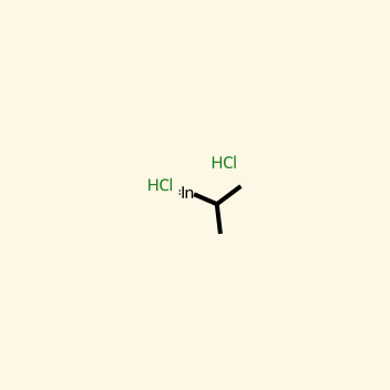 C[CH](C)[In].Cl.Cl